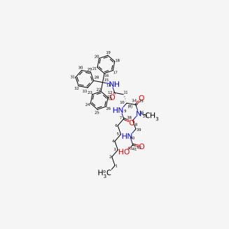 CCCCCCCC(=O)N[C@H](CC(=O)NC(c1ccccc1)(c1ccccc1)c1ccccc1)C(=O)N(C)CCNC(=O)O